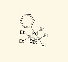 CC[PH](CC)(CC)[Pd]([Br])([c]1ccccc1)[PH](CC)(CC)CC